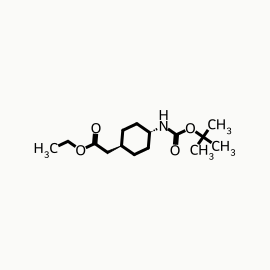 CCOC(=O)C[C@H]1CC[C@H](NC(=O)OC(C)(C)C)CC1